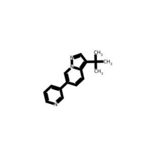 CC(C)(C)c1cnn2cc(-c3cccnc3)ccc12